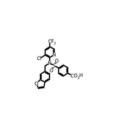 O=C(O)c1ccc(S(=O)(=O)N(Cc2ccc3ccoc3c2)c2ncc(C(F)(F)F)cc2Cl)cc1